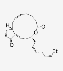 CC/C=C\C/C=C\C[C@H]1C/C=C2/C(=O)C=C[C@@H]2C/C=C\CCCC(=O)O1